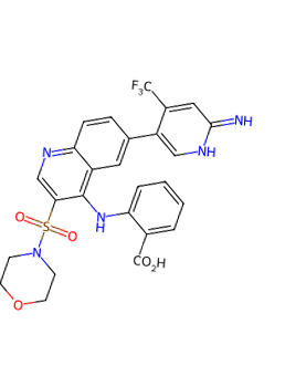 N=c1cc(C(F)(F)F)c(-c2ccc3ncc(S(=O)(=O)N4CCOCC4)c(Nc4ccccc4C(=O)O)c3c2)c[nH]1